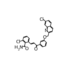 NC(=O)c1c(Cl)cccc1C=CC(=O)c1cccc(OCc2ccc3ccc(Cl)cc3n2)c1